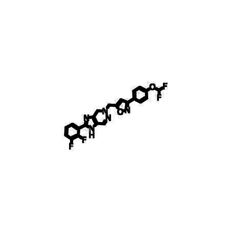 Fc1cccc(-c2nc3c([nH]2)C=NN(Cc2cc(-c4ccc(OC(F)F)cc4)no2)C3)c1F